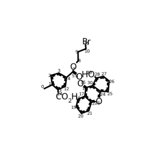 Cc1ccc(C(=O)OCCCBr)cc1C(=O)O.O=c1c2ccccc2oc2cccc(O)c12